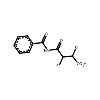 O=C(NC(=O)C(Cl)C(Cl)C(=O)O)c1ccccc1